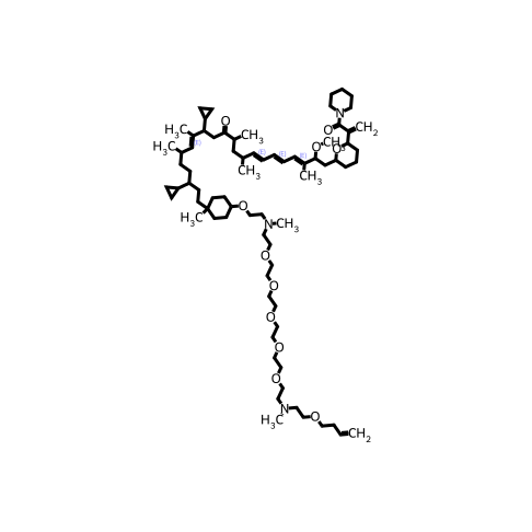 C=CCCOCCN(C)CCOCCOCCOCCOCCOCCN(C)CCOC1CCC(C)(CCC(CCC(C)/C=C(\C)C(CC(=O)C(C)CC(C)/C=C/C=C/C=C(\C)C(CC2CCCC(C(=C)C(=O)N3CCCCC3)O2)OC)C2CC2)C2CC2)CC1